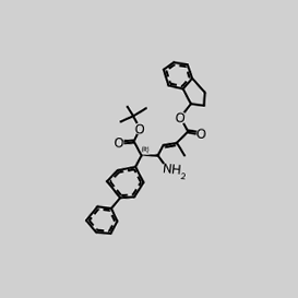 CC(=CC(N)[C@H](C(=O)OC(C)(C)C)c1ccc(-c2ccccc2)cc1)C(=O)OC1CCc2ccccc21